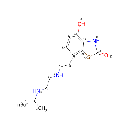 CCCC[C@@H](C)NCCNCCc1ccc(O)c2[nH]c(=O)sc12